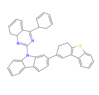 C1=CCC(C2=NC(n3c4ccccc4c4ccc(C5=Cc6c(sc7ccccc67)CC5)cc43)=NC3CC=CC=C23)C=C1